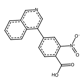 O=C(O)c1ccc(-c2cncc3ccccc23)cc1[N+](=O)[O-]